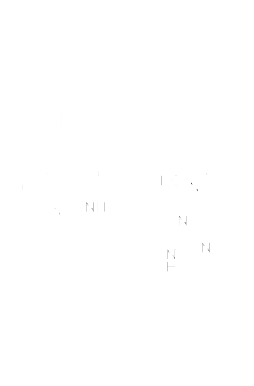 CN(C)c1ccnc(NC2CCC(CNC(=O)c3c(Cl)cc(Cl)cc3Cl)CC2)n1